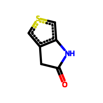 O=C1Cc2cscc2N1